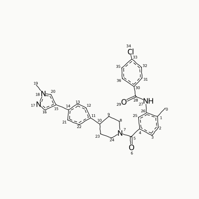 Cc1ccc(C(=O)N2CCC(c3ccc(-c4cnn(C)c4)cc3)CC2)cc1NC(=O)c1ccc(Cl)cc1